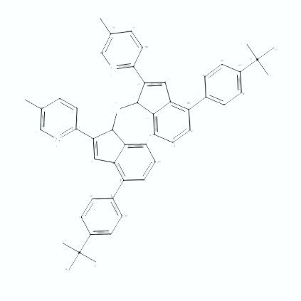 Cc1ccc(C2=Cc3c(-c4ccc(C(C)(C)C)cc4)cccc3[CH]2[Zr][CH]2C(c3ccc(C)cn3)=Cc3c(-c4ccc(C(C)(C)C)cc4)cccc32)nc1